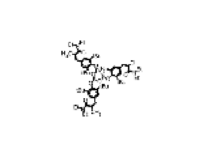 CCN(CC)C(=O)C(C)Cc1cc(C(C)(C)C)c(OP2OP(Oc3c(C(C)(C)C)cc(CC(C)C(=O)N(CC)CC)cc3C(C)(C)C)OP(Oc3c(C(C)(C)C)cc(CC(C)C(=O)N(CC)CC)cc3C(C)(C)C)O2)c(C(C)(C)C)c1